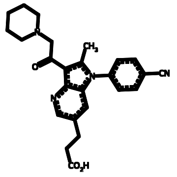 Cc1c(C(=O)CN2CCCCC2)c2ncc(CCC(=O)O)cc2n1-c1ccc(C#N)cc1